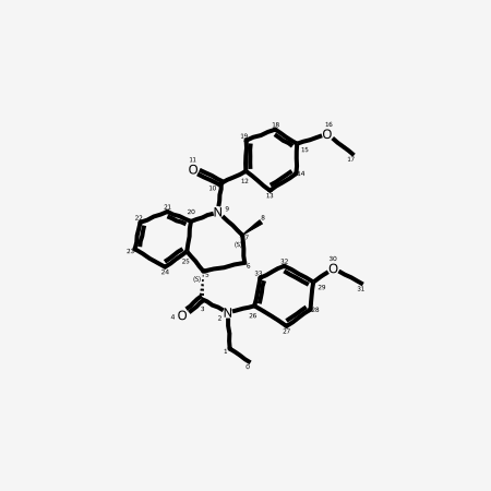 CCN(C(=O)[C@H]1C[C@H](C)N(C(=O)c2ccc(OC)cc2)c2ccccc21)c1ccc(OC)cc1